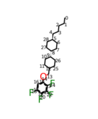 CCCCC[C@H]1CC[C@H](C2CCC(COc3cc(F)c(F)c(F)c3F)CC2)CC1